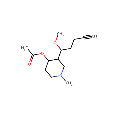 C#CCCC(OC)C1CN(C)CCC1OC(C)=O